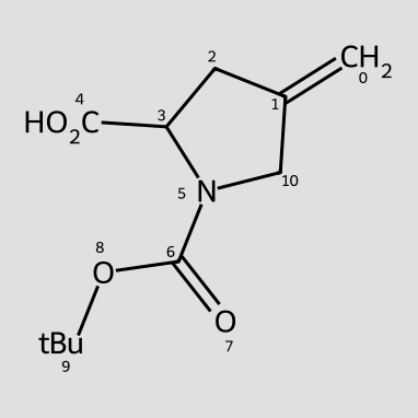 C=C1CC(C(=O)O)N(C(=O)OC(C)(C)C)C1